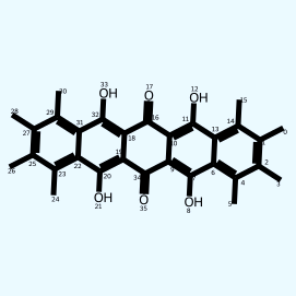 Cc1c(C)c(C)c2c(O)c3c(c(O)c2c1C)C(=O)c1c(c(O)c2c(C)c(C)c(C)c(C)c2c1O)C3=O